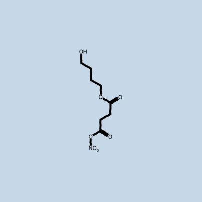 O=C(CCC(=O)O[N+](=O)[O-])OCCCCO